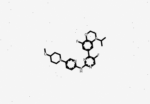 COC1CCN(c2ccc(Nc3ncc(F)c(-c4cc(F)c5c(c4)N(C(C)C)CCO5)n3)nc2)CC1